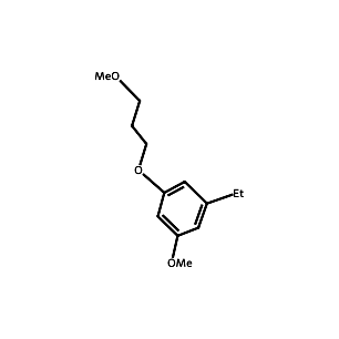 CCc1cc(OC)cc(OCCCOC)c1